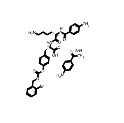 Br.CC(=O)c1ccc(N)cc1.Cc1ccc(C(=O)N[C@@H](CCCCN)C(=O)N[C@@H](Cc2ccc(OC(=O)OCc3ccccc3Br)cc2)C(=O)O)cc1